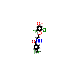 O=C(NCCCOc1c(Cl)cc(O)cc1Cl)c1ccc(C(F)(F)F)cc1